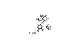 CS(=O)(=O)O.N#CCC1(C(N)=O)CCCCC1CSc1ccc(SCCN)c(F)c1